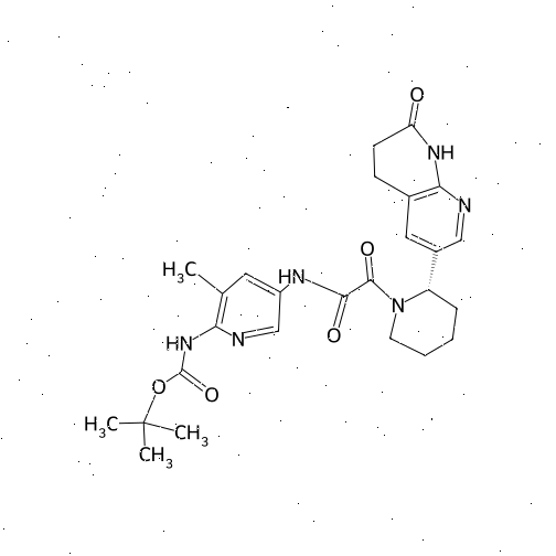 Cc1cc(NC(=O)C(=O)N2CCCC[C@H]2c2cnc3c(c2)CCC(=O)N3)cnc1NC(=O)OC(C)(C)C